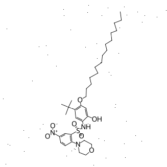 CCCCCCCCCCCCCCCCOc1cc(O)c(NS(=O)(=O)c2cc([N+](=O)[O-])ccc2N2CCOCC2)cc1C(C)(C)C